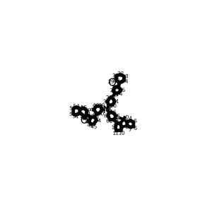 CC1(C)c2ccccc2-c2cccc(-c3ccc(N(c4ccc(-c5ccc6c(c5)oc5ccccc56)cc4)c4cccc(-c5cccc6oc7c8ccccc8ccc7c56)c4)cc3)c21